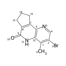 Cc1c(Br)cnc2c3c(c(=O)[nH]c12)CCC3